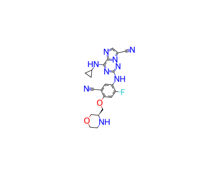 N#Cc1cc(Nc2nc(NC3CC3)c3ncc(C#N)n3n2)c(F)cc1OC[C@@H]1COCCN1